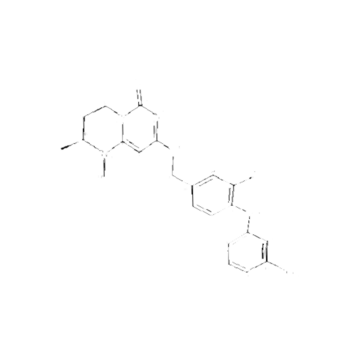 C[C@H]1CCn2c(cc(OCc3ccc(Oc4cccc(C(F)(F)F)c4)c(F)c3)nc2=O)N1C